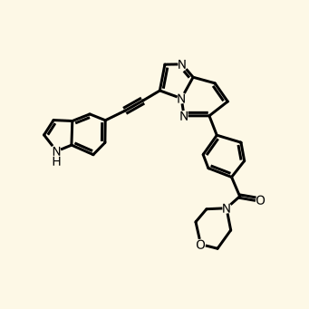 O=C(c1ccc(-c2ccc3ncc(C#Cc4ccc5[nH]ccc5c4)n3n2)cc1)N1CCOCC1